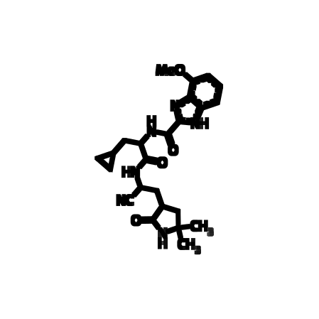 COc1cccc2[nH]c(C(=O)NC(CC3CC3)C(=O)NC(C#N)CC3CC(C)(C)NC3=O)nc12